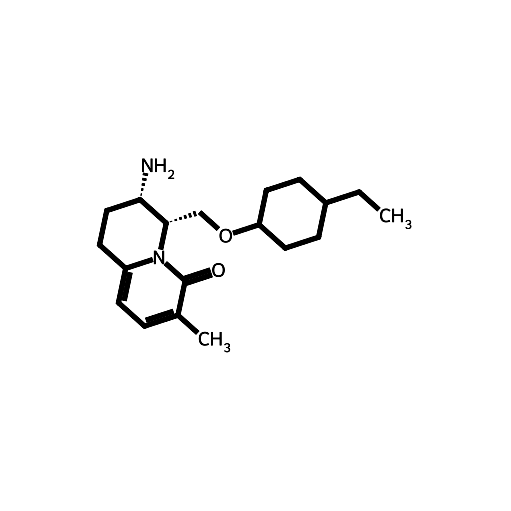 CCC1CCC(OC[C@H]2[C@@H](N)CCc3ccc(C)c(=O)n32)CC1